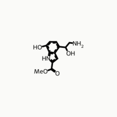 COC(=O)c1cc2c(C(O)CN)ccc(O)c2[nH]1